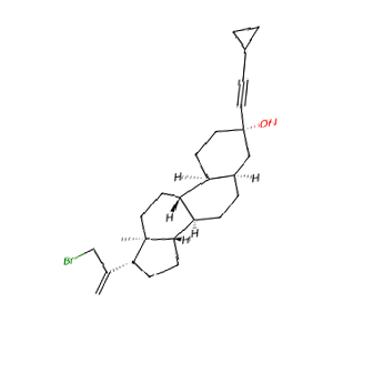 C=C(CBr)[C@H]1CC[C@H]2[C@@H]3CC[C@@H]4C[C@](O)(C#CC5CC5)CC[C@@H]4[C@H]3CC[C@]12C